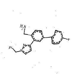 CC(C)Cn1ccc(-c2cc(-c3ccc(F)cc3)ccc2CN)n1